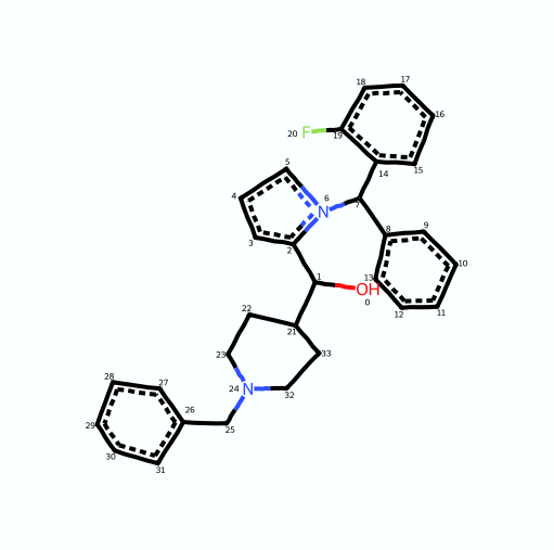 OC(c1cccn1C(c1ccccc1)c1ccccc1F)C1CCN(Cc2ccccc2)CC1